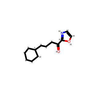 O=C(CCCC1CCCCC1)c1ncco1